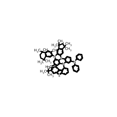 Cc1cc2c3c(c1)N(c1cccc4sc5cc(C(C)(C)C)ccc5c14)c1cc(N(c4ccccc4)c4ccccc4)ccc1B3c1cc3c(cc1N2c1cc2c(cc1C)C(C)(C)CCC2(C)C)C(C)(C)CC3(C)C